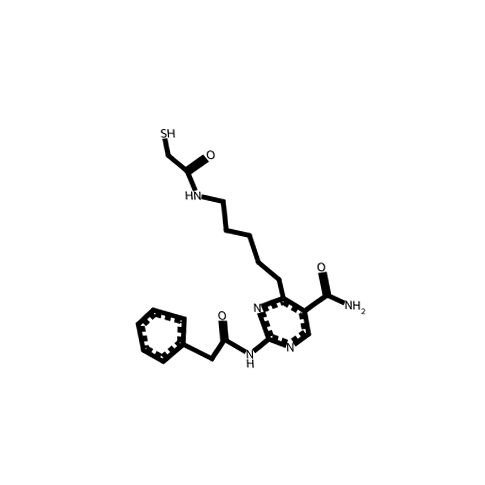 NC(=O)c1cnc(NC(=O)Cc2ccccc2)nc1CCCCCNC(=O)CS